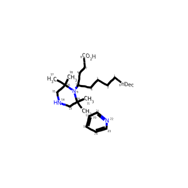 CCCCCCCCCCCCCCC(CCC(=O)O)N1C(C)(C)CNCC1(C)C.c1ccncc1